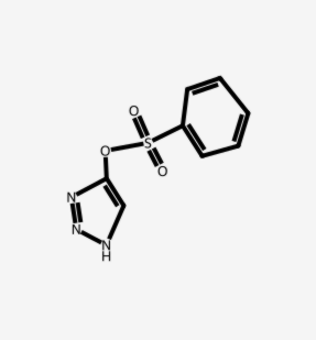 O=S(=O)(Oc1c[nH]nn1)c1ccccc1